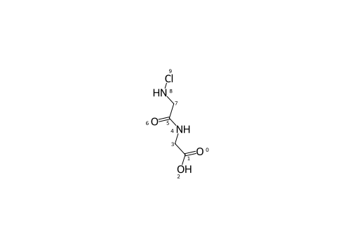 O=C(O)CNC(=O)CNCl